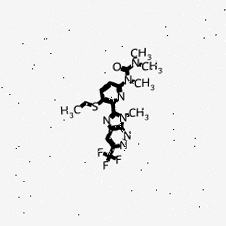 CCSc1ccc(N(C)C(=O)N(C)C)nc1-c1nc2cc(C(F)(F)F)nnc2n1C